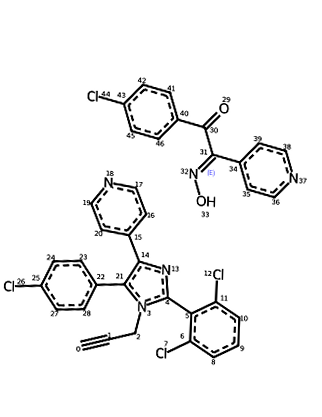 C#CCn1c(-c2c(Cl)cccc2Cl)nc(-c2ccncc2)c1-c1ccc(Cl)cc1.O=C(/C(=N/O)c1ccncc1)c1ccc(Cl)cc1